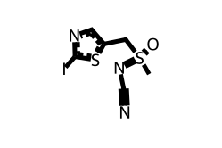 CS(=O)(Cc1cnc(I)s1)=NC#N